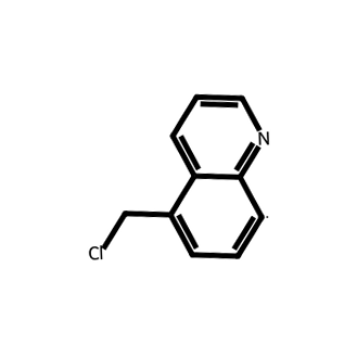 ClCc1cc[c]c2ncccc12